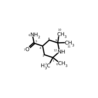 CC1(C)CC(C(N)=O)CC(C)(C)N1